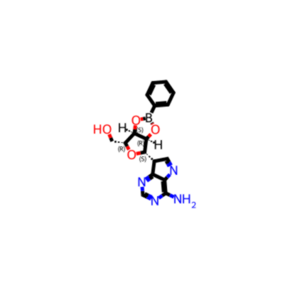 Nc1ncnc2c1N=CC2[C@@H]1O[C@H](CO)[C@H]2OB(c3ccccc3)O[C@H]21